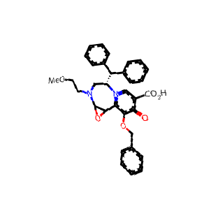 COCCN1C[C@H](C(c2ccccc2)c2ccccc2)n2cc(C(=O)O)c(=O)c(OCc3ccccc3)c2C2OC21